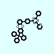 c1ccc(-c2nc(-c3ccc(-c4cccc5c4Oc4cc6c(cc4O5)C(c4ccccc4)(c4ccccc4)c4ccccc4-6)cc3)nc(-c3ccccn3)n2)cc1